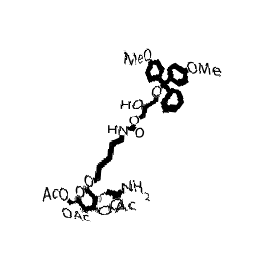 COc1ccc(C(OC[C@@H](O)COC(=O)NCCCCCO[C@@H]2O[C@H](COC(C)=O)[C@H](OC(C)=O)[C@H](OC(C)=O)[C@H]2CC(N)=O)(c2ccccc2)c2ccc(OC)cc2)cc1